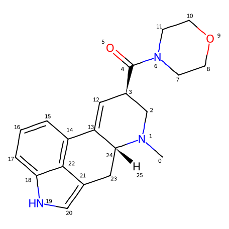 CN1C[C@H](C(=O)N2CCOCC2)C=C2c3cccc4[nH]cc(c34)C[C@H]21